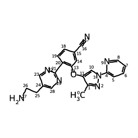 Cc1nn(-c2ccccn2)cc1Oc1cc(C#N)ccc1-c1ncc(CCN)cn1